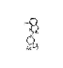 CC(=O)N1CCN(c2ncc3cccc(F)c3n2)CC12COC2